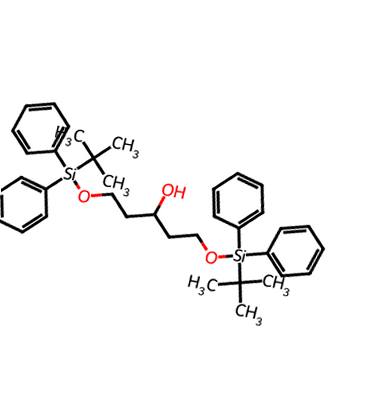 CC(C)(C)[Si](OCCC(O)CCO[Si](c1ccccc1)(c1ccccc1)C(C)(C)C)(c1ccccc1)c1ccccc1